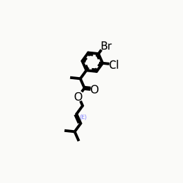 CC(C)/C=C/COC(=O)C(C)c1ccc(Br)c(Cl)c1